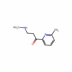 Cc1cccc(C(=O)CCNC(=O)O)n1